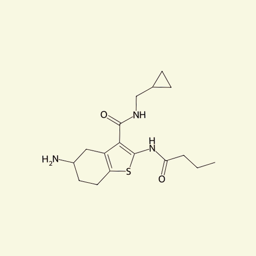 CCCC(=O)Nc1sc2c(c1C(=O)NCC1CC1)CC(N)CC2